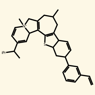 C=Cc1cccc(C2C=CC3C4=C(SC3C2)C2=C(CC(C)C4)C[N+]3(C)C=CC(C(C)C(C)C)=CC23)c1